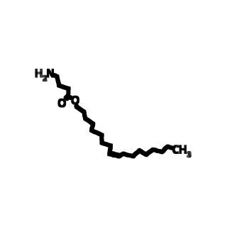 CCCCCCCC/C=C\CCCCCCCCOC(=O)CCCN